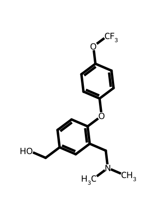 CN(C)Cc1cc(CO)ccc1Oc1ccc(OC(F)(F)F)cc1